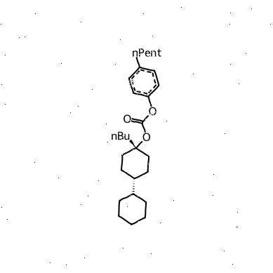 CCCCCc1ccc(OC(=O)O[C@]2(CCCC)CC[C@H](C3CCCCC3)CC2)cc1